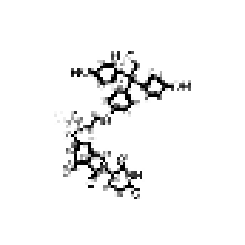 CCC(=C(c1ccc(O)cc1)c1ccc(OCCN(C)Cc2cc(Br)c3c(c2)CN(C2CCC(=O)NC2=O)C3=O)cc1)c1ccc(O)cc1